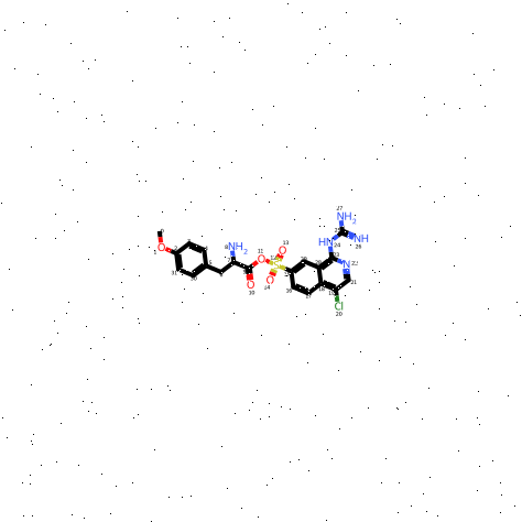 COc1ccc(CC(N)C(=O)OS(=O)(=O)c2ccc3c(Cl)cnc(NC(=N)N)c3c2)cc1